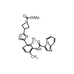 COC(=O)N1CC(c2nc(-c3ccc(C)c(NC(=O)c4cnc5ccccn45)c3C)no2)C1